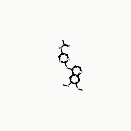 COc1cc2nccc(Oc3ncc(NC(C)=O)cn3)c2cc1OC